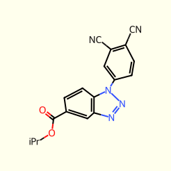 CC(C)OC(=O)c1ccc2c(c1)nnn2-c1ccc(C#N)c(C#N)c1